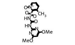 COc1cc(OC)nc(NC(=O)NS(=O)(=O)c2c(C)ccc[n+]2[O-])n1